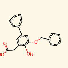 O=C(O)Cc1cc(-c2ccccc2)cc(OCc2ccccc2)c1O